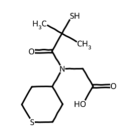 CC(C)(S)C(=O)N(CC(=O)O)C1CCSCC1